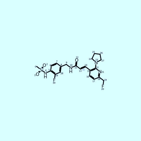 CS(=O)(=O)Nc1ccc(CNC(=O)/C=C/c2ccc(CF)nc2N2CCCC2)cc1F